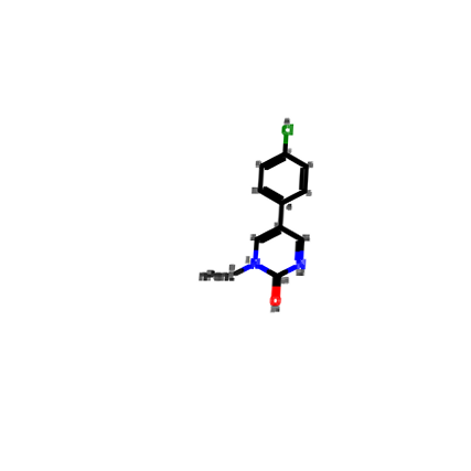 CCCCCn1cc(-c2ccc(Cl)cc2)cnc1=O